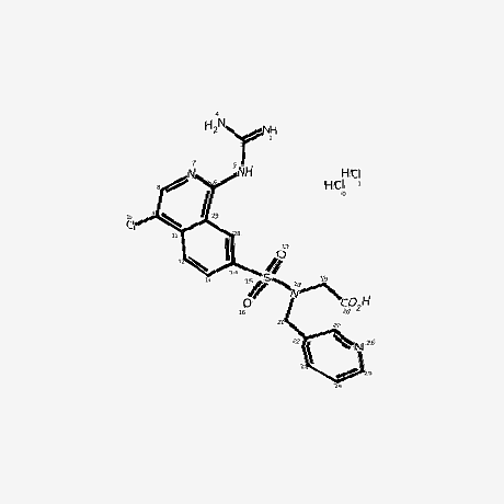 Cl.Cl.N=C(N)Nc1ncc(Cl)c2ccc(S(=O)(=O)N(CC(=O)O)Cc3cccnc3)cc12